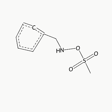 CS(=O)(=O)ONCc1ccccc1